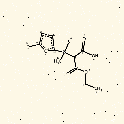 CCOC(=O)C(C(=O)O)C(C)(C)c1ccc(C)o1